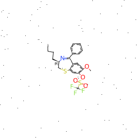 CCCC[C@@H]1CSc2cc(OS(=O)(=O)C(F)(F)F)c(OC)cc2C(c2ccccc2)=N1